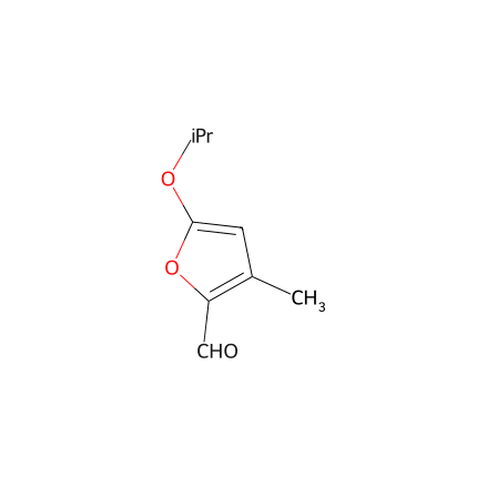 Cc1cc(OC(C)C)oc1C=O